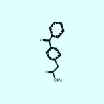 COC(=O)Cc1ccc(C(=O)c2ccccc2)cc1